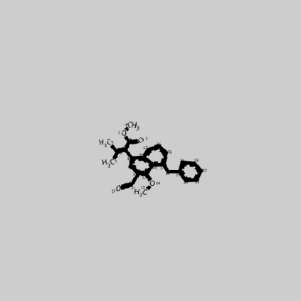 COC(=O)C(=C(C)C)c1cc(C=O)c(OC)c2c(Cc3ccccc3)cccc12